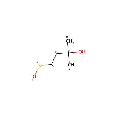 CC(C)(O)CCS[O]